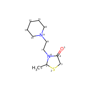 CC1SCC(=O)N1CCN1CCCCC1